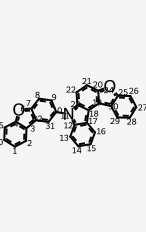 c1ccc2c(c1)oc1ccc(-n3c4ccccc4c4c5c(ccc43)oc3ccccc35)cc12